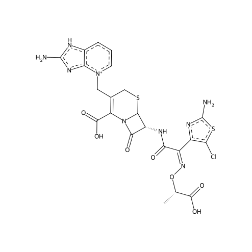 C[C@H](O/N=C(\C(=O)N[C@@H]1C(=O)N2C(C(=O)O)=C(C[n+]3cccc4[nH]c(N)nc43)CSC12)c1nc(N)sc1Cl)C(=O)O